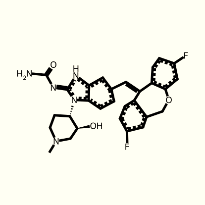 CN1CC[C@H](n2/c(=N/C(N)=O)[nH]c3cc(/C=C4\c5ccc(F)cc5COc5cc(F)ccc54)ccc32)[C@@H](O)C1